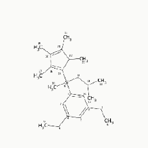 CCc1cc(CC)cc([Si](C)(CC(C)C)C2=C(C)C(C)=C(C)C2C)c1